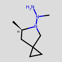 C[C@@H]1CC2(CC2)CN1N(C)N